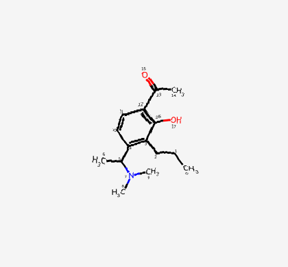 CCCc1c(C(C)N(C)C)ccc(C(C)=O)c1O